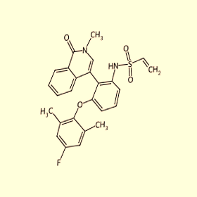 C=CS(=O)(=O)Nc1cccc(Oc2c(C)cc(F)cc2C)c1-c1cn(C)c(=O)c2ccccc12